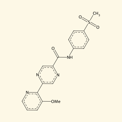 COc1cccnc1-c1cnc(C(=O)Nc2ccc(S(C)(=O)=O)cc2)cn1